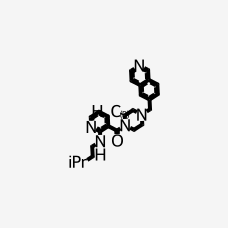 CC(C)CCNc1ncccc1C(=O)N1CCN(Cc2ccc3cnccc3c2)C[C@H]1C